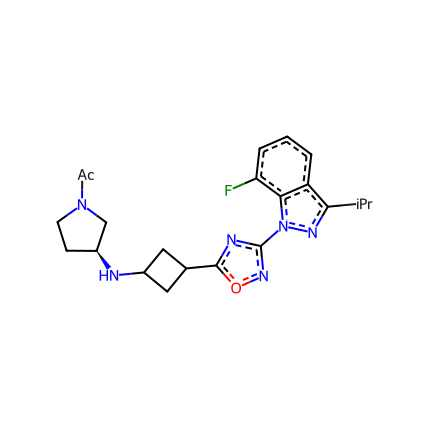 CC(=O)N1CC[C@H](NC2CC(c3nc(-n4nc(C(C)C)c5cccc(F)c54)no3)C2)C1